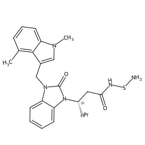 CCC[C@@H](CC(=O)NSN)n1c(=O)n(Cc2cn(C)c3cccc(C)c23)c2ccccc21